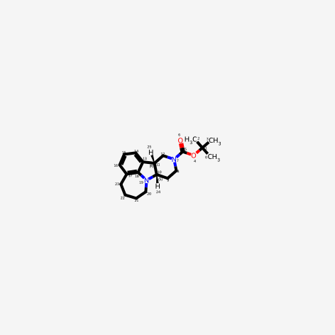 CC(C)(C)OC(=O)N1CC[C@H]2[C@@H](C1)c1cccc3c1N2CCCC3